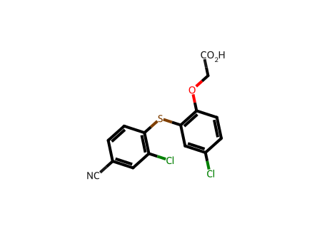 N#Cc1ccc(Sc2cc(Cl)ccc2OCC(=O)O)c(Cl)c1